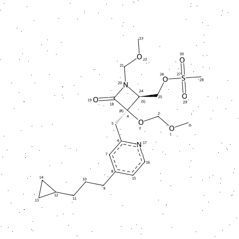 COCO[C@@]1(Cc2cc(CCCC3CC3)ccn2)C(=O)N(COC)[C@H]1COS(C)(=O)=O